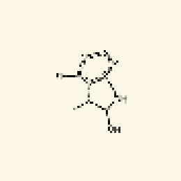 OC1Nc2ncnc(Cl)c2C1F